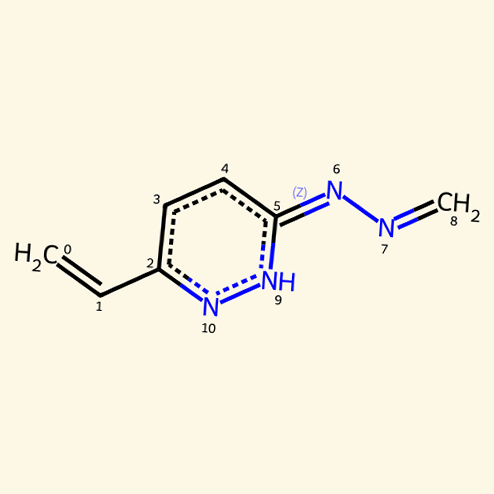 C=Cc1cc/c(=N/N=C)[nH]n1